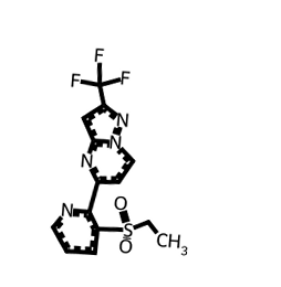 CCS(=O)(=O)c1cccnc1-c1ccn2nc(C(F)(F)F)cc2n1